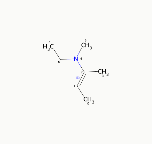 C/C=C(\C)N(C)CC